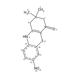 CC1(C)CC(=O)C2=C(C1)Nc1ccc([N+](=O)[O-])cc1S2